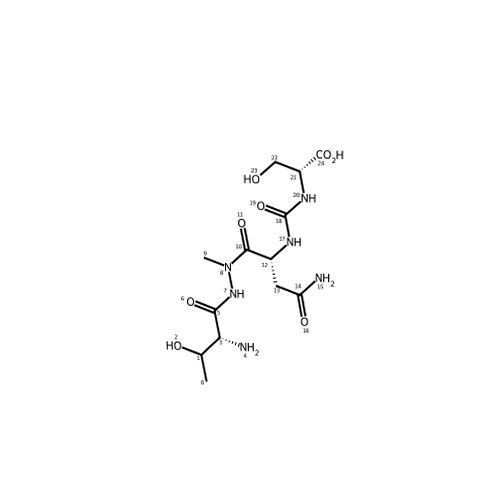 CC(O)[C@@H](N)C(=O)NN(C)C(=O)[C@@H](CC(N)=O)NC(=O)N[C@H](CO)C(=O)O